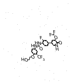 O=C(Nc1ccc(OCCO)c(C(F)(F)F)c1)Nc1ccc(-c2c[nH]c(=O)c(OC(F)F)c2)cc1F